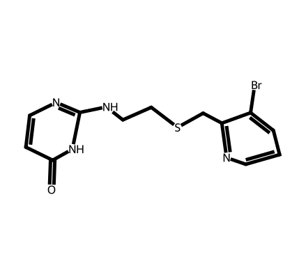 O=c1ccnc(NCCSCc2ncccc2Br)[nH]1